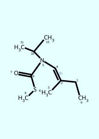 CC/C(C)=C/N(C(=O)SC)C(C)C